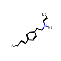 CC/C=C/N(CC)CCc1ccc(/C=C/CC(F)(F)F)cc1